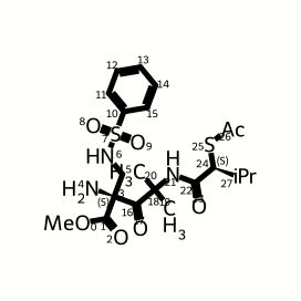 COC(=O)[C@](N)(CNS(=O)(=O)c1ccccc1)C(=O)C(C)(C)NC(=O)[C@@H](SC(C)=O)C(C)C